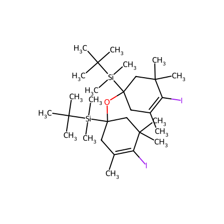 CC1=C(I)C(C)(C)CC(OC2([Si](C)(C)C(C)(C)C)CC(C)=C(I)C(C)(C)C2)([Si](C)(C)C(C)(C)C)C1